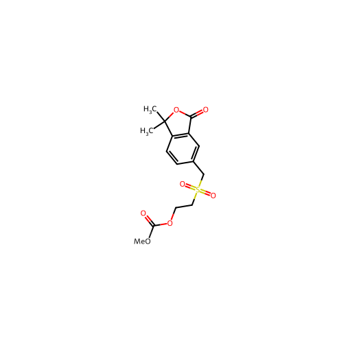 COC(=O)OCCS(=O)(=O)Cc1ccc2c(c1)C(=O)OC2(C)C